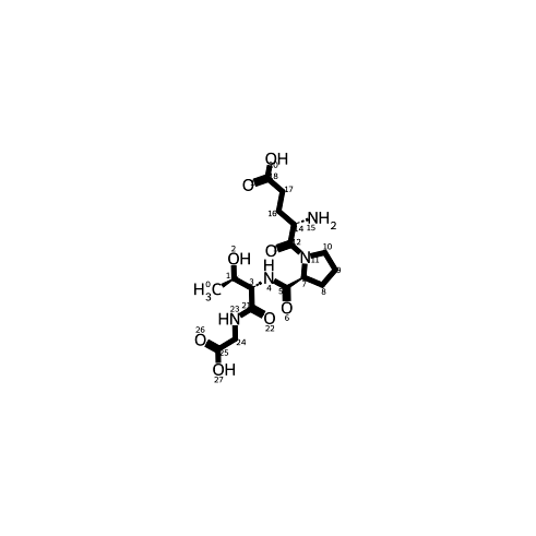 C[C@@H](O)[C@H](NC(=O)[C@@H]1CCCN1C(=O)[C@@H](N)CCC(=O)O)C(=O)NCC(=O)O